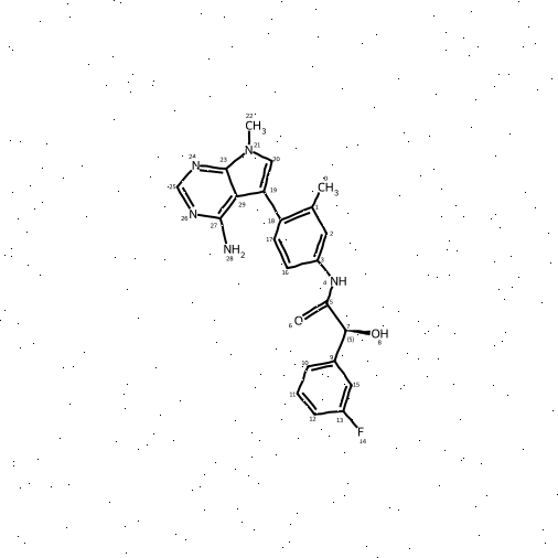 Cc1cc(NC(=O)[C@@H](O)c2cccc(F)c2)ccc1-c1cn(C)c2ncnc(N)c12